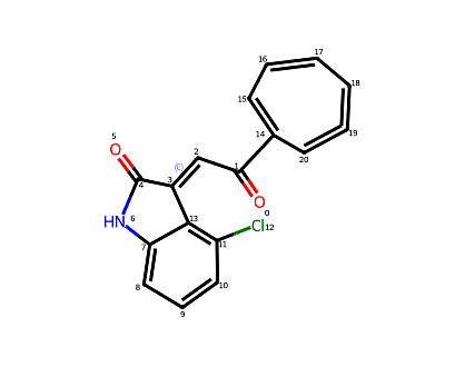 O=C(/C=C1/C(=O)Nc2cccc(Cl)c21)C1=CC=CC=C=C1